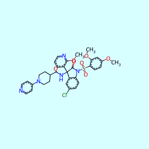 COc1ccc(S(=O)(=O)N2C(=O)C(NC(=O)C3CCN(c4ccncc4)CC3)(c3cccnc3OC)c3cc(Cl)ccc32)c(OC)c1